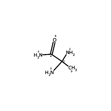 CC(N)(N)C(N)=O